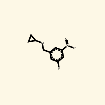 O=[N+]([O-])c1cc(F)cc(CNC2CC2)c1